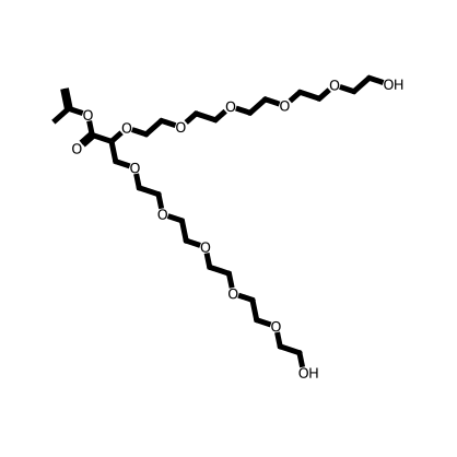 C=C(C)OC(=O)C(COCCOCCOCCOCCOCCO)OCCOCCOCCOCCOCCO